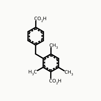 Cc1cc(C)c(C(=O)O)c(C)c1Cc1ccc(C(=O)O)cc1